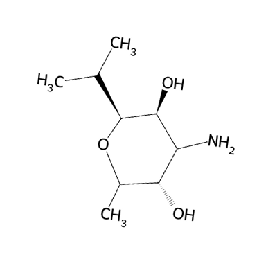 CC1O[C@@H](C(C)C)[C@@H](O)C(N)[C@@H]1O